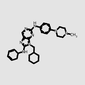 CN1CCN(c2ccc(Nc3ncc4nc(NC5C=CC=CC5)n(CC5CCCCC5)c4n3)cc2)CC1